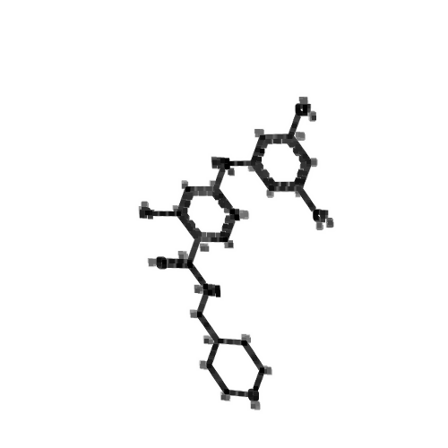 CC(C)c1cc(Nc2cc(C(F)(F)F)cc(C(F)(F)F)c2)ncc1C(=O)NCC1CCOCC1